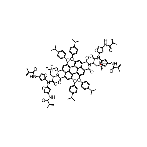 C=C(C)C(=O)Nc1coc(N(C(=O)C(CC(F)(F)F)N2C(=O)c3cc(Oc4ccc(C(C)C)cc4)c4c5c(Oc6ccc(C(C)C)cc6)cc6c7c(cc(Oc8ccc(C(C)C)cc8)c(c8c(Oc9ccc(C(C)C)cc9)cc(c3c48)C2=O)c75)C(=O)N(C(CC(F)(F)F)C(=O)N(c2cc(NC(=O)C(=C)C)co2)c2cc(NC(=O)C(=C)C)co2)C6=O)c2cc(NC(=O)C(=C)C)co2)c1